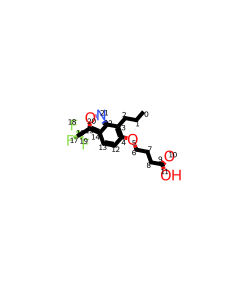 CCCc1c(OCCCC(=O)O)ccc2c(C(F)(F)F)onc12